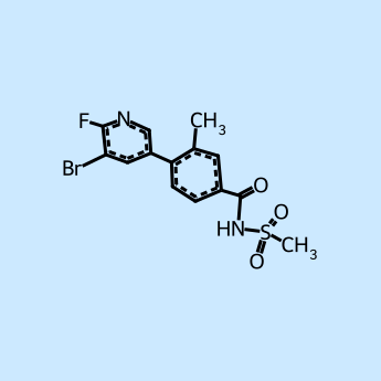 Cc1cc(C(=O)NS(C)(=O)=O)ccc1-c1cnc(F)c(Br)c1